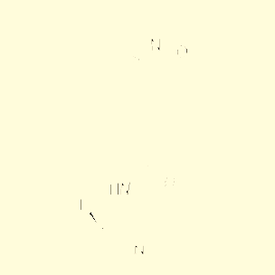 O=C(NC1CN2CC[C@H]1C2)c1ccc(SN2C=CCO2)cc1